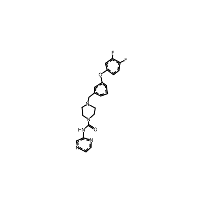 O=C(Nc1cnccn1)N1CCN(Cc2cccc(Oc3ccc(F)c(F)c3)c2)CC1